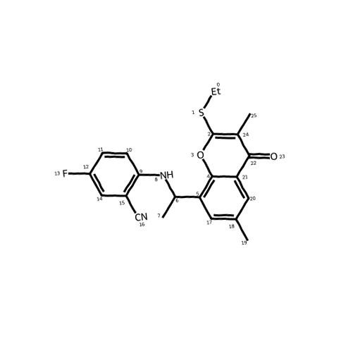 CCSc1oc2c(C(C)Nc3ccc(F)cc3C#N)cc(C)cc2c(=O)c1C